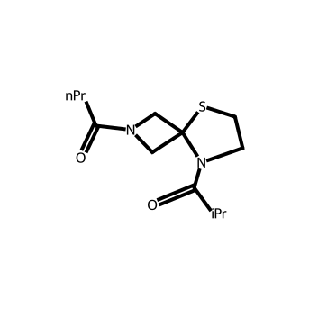 CCCC(=O)N1CC2(C1)SCCN2C(=O)C(C)C